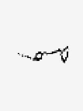 CONc1ccc(OCCN2CCCC2)cc1